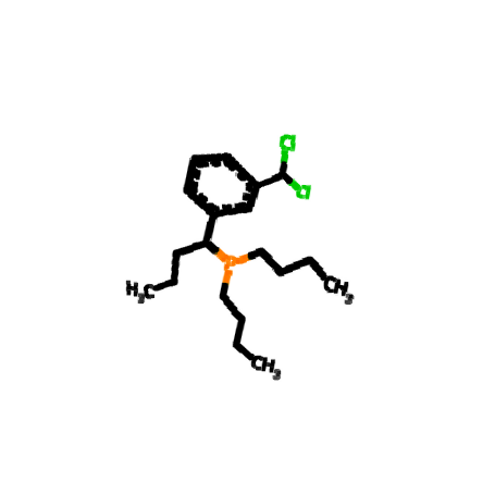 CCCCP(CCCC)C(CCC)c1cccc(C(Cl)Cl)c1